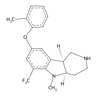 Cc1ccccc1Oc1cc2c(c(C(F)(F)F)c1)N(C)[C@@H]1CCNC[C@H]21